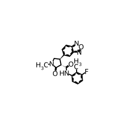 Cc1c(F)cccc1NC(=O)[C@@H]1C(=O)N(C)C[C@H]1c1ccc2nonc2c1